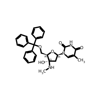 CN[C@]1(O)C[C@H](n2cc(C)c(=O)[nH]c2=O)O[C@@H]1COC(c1ccccc1)(c1ccccc1)c1ccccc1